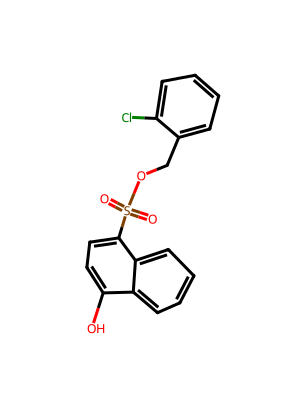 O=S(=O)(OCc1ccccc1Cl)c1ccc(O)c2ccccc12